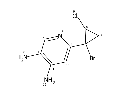 Nc1cnc(C2(Br)CC2Cl)cc1N